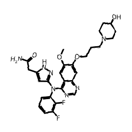 COc1cc2c(N(c3cc(CC(N)=O)[nH]n3)c3cccc(F)c3F)ncnc2cc1OCCCN1CCC(O)CC1